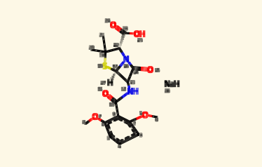 COc1cccc(OC)c1C(=O)NC1C(=O)N2[C@@H]1SC(C)(C)[C@@H]2C(=O)O.[NaH]